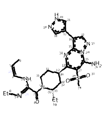 C/C=C\N/C(=N\CC)C(=O)N1CC[C@@H](c2nc3c(-c4cn[nH]c4)cnn3c(N)c2S(C)(=O)=O)C[C@@H]1CC